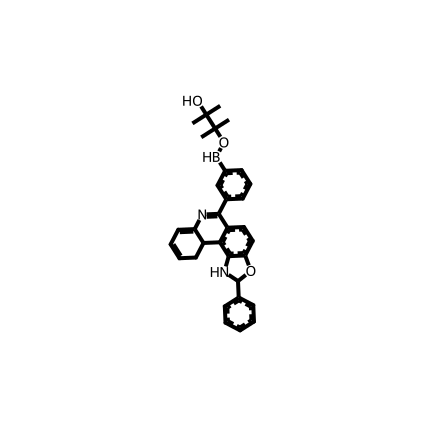 CC(C)(O)C(C)(C)OBc1cccc(C2=NC3=CC=CCC3c3c2ccc2c3NC(c3ccccc3)O2)c1